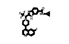 O=C(NC1CC1)c1ccc2nc([C@H](N3CCC(c4ccnc5ccc(F)cc45)CC3)C(F)(F)F)[nH]c2c1